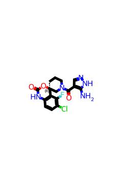 Nc1[nH]ncc1C(=O)N1CCC[C@@]2(C1)OC(=O)Nc1ccc(Cl)c(F)c12